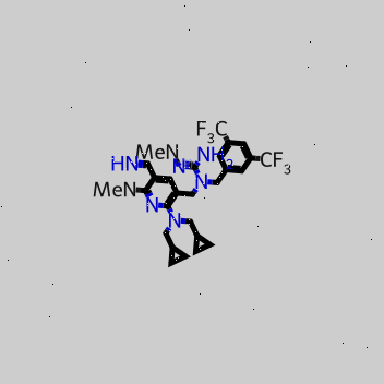 CN/N=C(\N)N(Cc1cc(C(F)(F)F)cc(C(F)(F)F)c1)Cc1cc(C=N)c(NC)nc1N(CC1CC1)CC1CC1